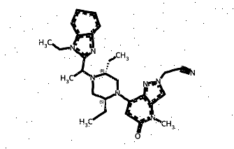 CC[C@H]1CN(C(C)c2nc3ccccc3n2CC)[C@H](CC)CN1c1cc(=O)n(C)c2cn(CC#N)nc12